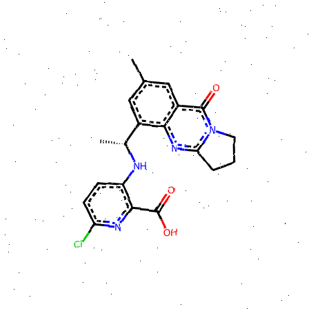 Cc1cc([C@@H](C)Nc2ccc(Cl)nc2C(=O)O)c2nc3n(c(=O)c2c1)CCC3